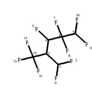 FC(F)C(C(F)C(F)(F)C(F)F)C(F)(F)F